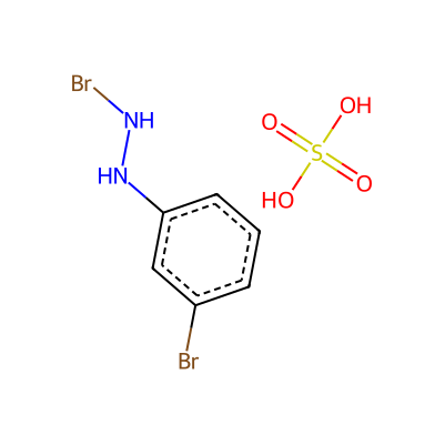 BrNNc1cccc(Br)c1.O=S(=O)(O)O